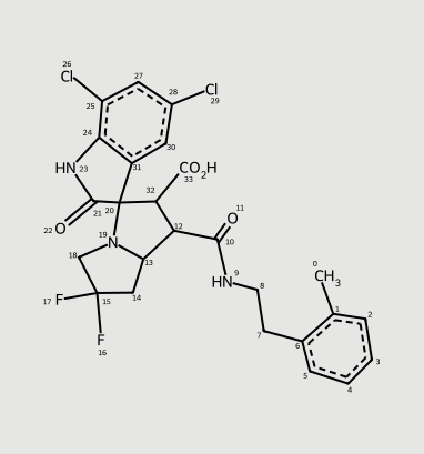 Cc1ccccc1CCNC(=O)C1C2CC(F)(F)CN2C2(C(=O)Nc3c(Cl)cc(Cl)cc32)C1C(=O)O